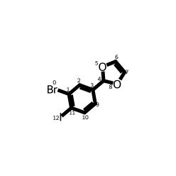 Brc1cc(C2OC=CO2)ccc1I